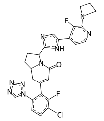 O=C1C=C(c2c(-n3cnnn3)ccc(Cl)c2F)CC2CCC(c3ncc(-c4ccnc(N5CCC5)c4F)[nH]3)N12